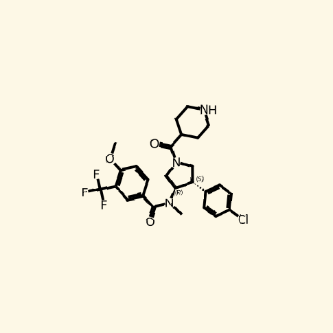 COc1ccc(C(=O)N(C)[C@H]2CN(C(=O)C3CCNCC3)C[C@@H]2c2ccc(Cl)cc2)cc1C(F)(F)F